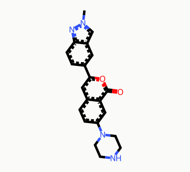 Cn1cc2cc(-c3cc4ccc(N5CCNCC5)cc4c(=O)o3)ccc2n1